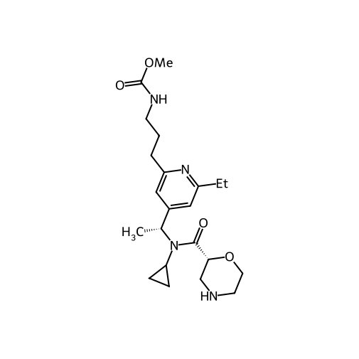 CCc1cc([C@@H](C)N(C(=O)[C@H]2CNCCO2)C2CC2)cc(CCCNC(=O)OC)n1